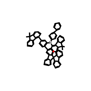 CC1(C)c2ccccc2-c2c(-c3ccc(-c4ccc5c(c4)-c4ccccc4C54c5ccccc5-c5ccccc54)c(N(c4ccc(-c5ccccc5)cc4)c4cccc5c4-c4ccccc4C5(C)C)c3)cccc21